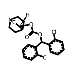 O=C(OC(c1ccccc1Cl)c1ccccc1Cl)O[C@H]1CN2CCC1CC2